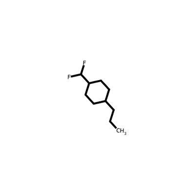 CCCC1CCC(C(F)F)CC1